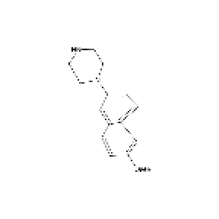 COc1ccc2cc(N3CCNCC3)ccc2c1